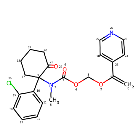 C=C(OCOC(=O)N(C)C1(c2ccccc2Cl)CCCCC1=O)c1ccncc1